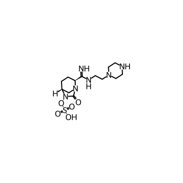 N=C(NCCN1CCNCC1)[C@@H]1CC[C@@H]2CN1C(=O)N2OS(=O)(=O)O